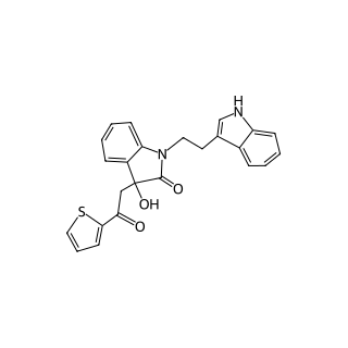 O=C(CC1(O)C(=O)N(CCc2c[nH]c3ccccc23)c2ccccc21)c1cccs1